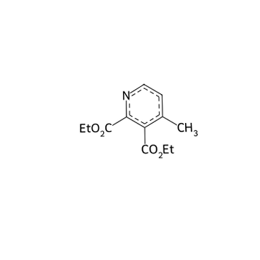 CCOC(=O)c1nccc(C)c1C(=O)OCC